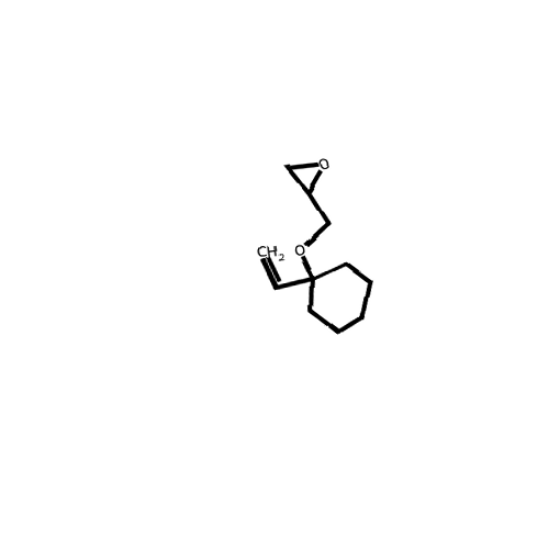 C=CC1(OCC2CO2)CCCCC1